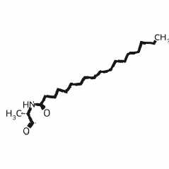 CCCCCCCCCCCCCCCCCC(=O)N[C@@H](C)[C]=O